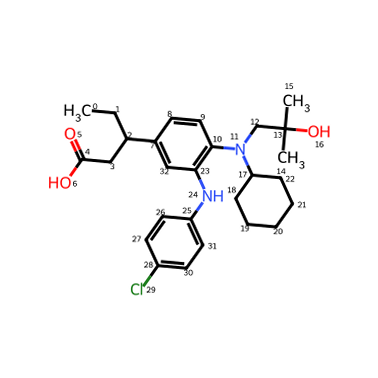 CCC(CC(=O)O)c1ccc(N(CC(C)(C)O)C2CCCCC2)c(Nc2ccc(Cl)cc2)c1